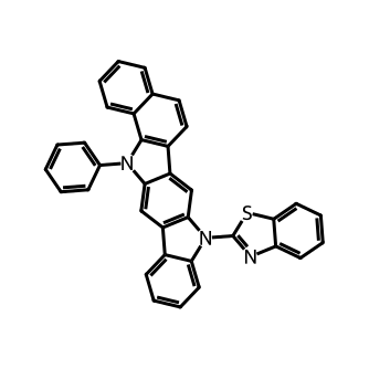 c1ccc(-n2c3cc4c5ccccc5n(-c5nc6ccccc6s5)c4cc3c3ccc4ccccc4c32)cc1